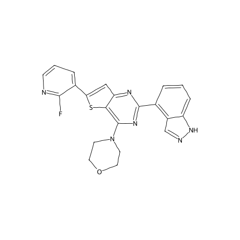 Fc1ncccc1-c1cc2nc(-c3cccc4[nH]ncc34)nc(N3CCOCC3)c2s1